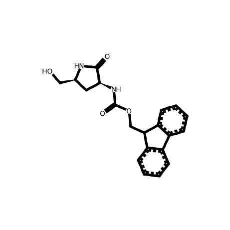 O=C(N[C@H]1C[C@@H](CO)NC1=O)OCC1c2ccccc2-c2ccccc21